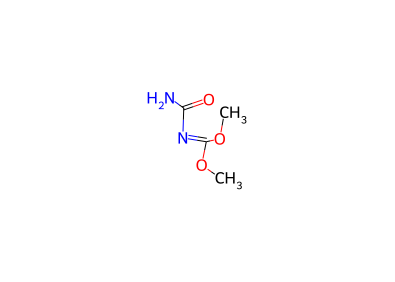 COC(=NC(N)=O)OC